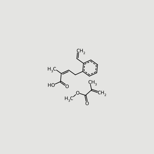 C=C(C)C(=O)OC.C=Cc1ccccc1CC=C(C)C(=O)O